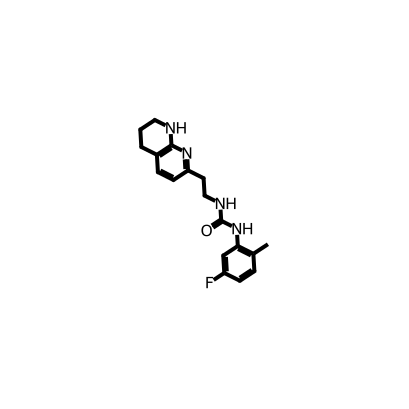 Cc1ccc(F)cc1NC(=O)NCCc1ccc2c(n1)NCCC2